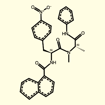 C[C@@H](C(=O)Nc1ccccc1)N(C)C(=O)[C@H](Cc1ccc([N+](=O)[O-])cc1)NC(=O)c1cccc2ccccc12